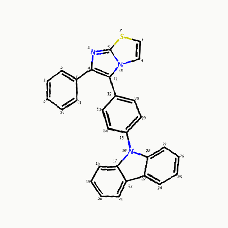 c1ccc(-c2nc3sccn3c2-c2ccc(-n3c4ccccc4c4ccccc43)cc2)cc1